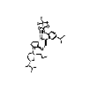 CCC[C@H]1C[C@H](N(C)C(C)C)CC[C@@H]1N1CC[C@H](NC(=O)c2cc(C(C)C)ccc2NS(=O)(=O)C(F)(F)F)C1=O